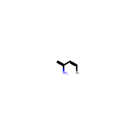 C=C(N)/C=C\C(C)=O